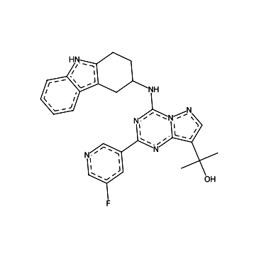 CC(C)(O)c1cnn2c(NC3CCc4[nH]c5ccccc5c4C3)nc(-c3cncc(F)c3)nc12